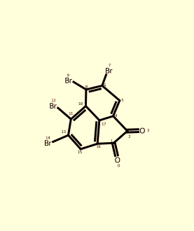 O=C1C(=O)c2cc(Br)c(Br)c3c(Br)c(Br)cc1c23